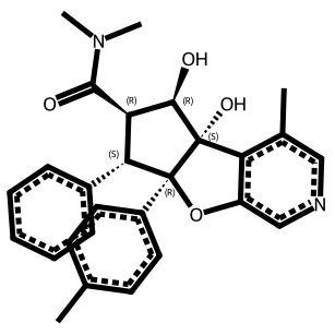 Cc1ccc([C@@]23Oc4cncc(C)c4[C@]2(O)[C@H](O)[C@H](C(=O)N(C)C)[C@H]3c2ccccc2)cc1